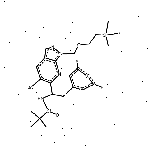 CC(C)(C)[S+]([O-])NC(Cc1cc(F)cc(F)c1)c1nc2c(cnn2COCC[Si](C)(C)C)cc1Br